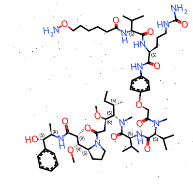 CC[C@H](C)[C@@H]([C@@H](CC(=O)N1CCC[C@H]1[C@H](OC)[C@@H](C)C(=O)N[C@H](C)[C@@H](O)c1ccccc1)OC)N(C)C(=O)[C@@H](NC(=O)[C@H](C(C)C)N(C)C(=O)COc1ccc(NC(=O)[C@H](CCCNC(N)=O)NC(=O)[C@@H](NC(=O)CCCCCON)C(C)C)cc1)C(C)C